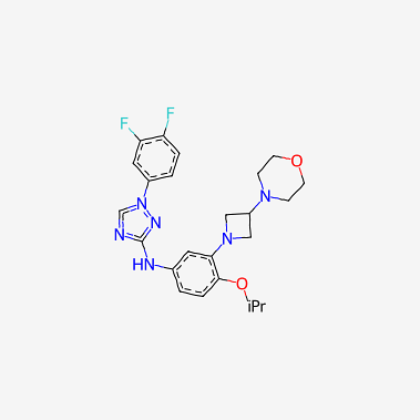 CC(C)Oc1ccc(Nc2ncn(-c3ccc(F)c(F)c3)n2)cc1N1CC(N2CCOCC2)C1